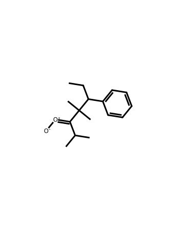 CCC(c1ccccc1)C(C)(C)C(=[O+][O-])C(C)C